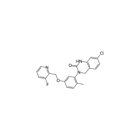 Cc1ccc(OCc2ncccc2F)cc1N1Cc2ccc(Cl)cc2NC1=O